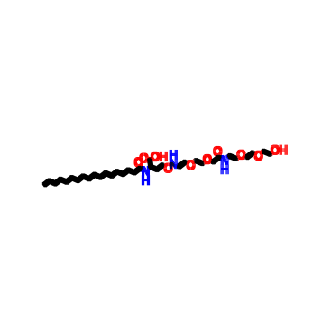 CCCCCCCCCCCCCCCCCC(=O)NC(CCONCCOCCOCC(=O)NCCOCCOCCO)C(=O)O